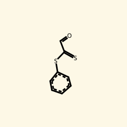 O=CC(=S)Sc1ccccc1